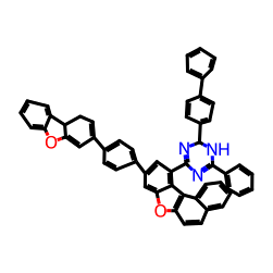 C1=C(c2ccc(-c3cc(C4=NC(c5ccc(-c6ccccc6)cc5)NC(c5ccccc5)=N4)c4c(c3)oc3ccc5ccccc5c34)cc2)C=C2Oc3ccccc3C2C1